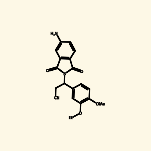 CCOc1cc(C(CC#N)N2C(=O)c3ccc(N)cc3C2=O)ccc1OC